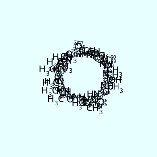 CC[C@H](C)[C@H]1C(=O)N[C@@H](CC(C)C)C(=O)NCC(=O)N(C)[C@@H](CC(C)C)C(=O)N[C@@H](Cc2ccccc2)C(=O)N[C@@H]([C@@H](C)O)C(=O)N(C)[C@@H](C)C(=O)N[C@H](C(=O)N2CCCCC2)CC(=O)N(C)[C@@H](C)C(=O)N[C@@H](Cc2ccccc2)C(=O)N(C)[C@@H](C(C)C)C(=O)N[C@@H](CC(C)C)C(=O)N1C